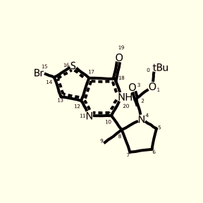 CC(C)(C)OC(=O)N1CCCC1(C)c1nc2cc(Br)sc2c(=O)[nH]1